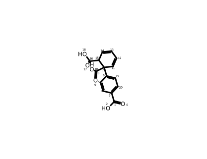 O=C(O)c1ccc(C2(C(=O)O)C=CC=CC2C(=O)O)cc1